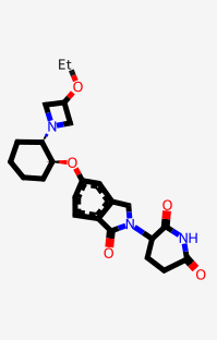 CCOC1CN([C@H]2CCCC[C@@H]2Oc2ccc3c(c2)CN(C2CCC(=O)NC2=O)C3=O)C1